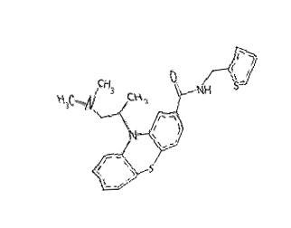 CC(CN(C)C)N1c2ccccc2Sc2ccc(C(=O)NCc3cccs3)cc21